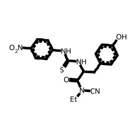 CCN(C#N)C(=O)C(Cc1ccc(O)cc1)NC(=S)Nc1ccc([N+](=O)[O-])cc1